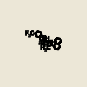 [2H]C([2H])(Cc1cccc(C(F)(F)F)c1)C([2H])([2H])N[C@H](C)c1cccc2ccccc12